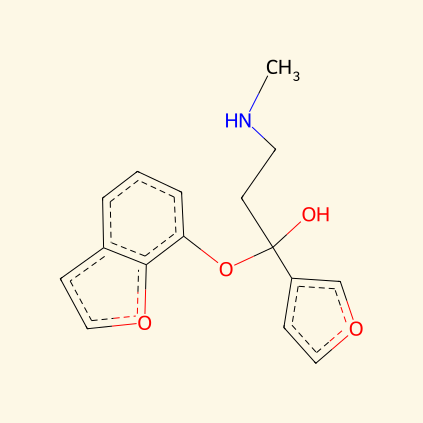 CNCCC(O)(Oc1cccc2ccoc12)c1ccoc1